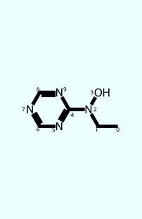 CCN(O)c1ncncn1